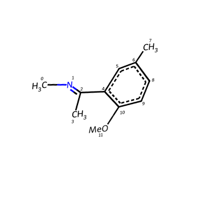 C/N=C(\C)c1cc(C)ccc1OC